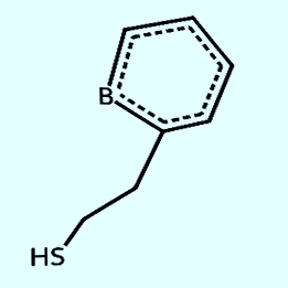 SCCc1bcccc1